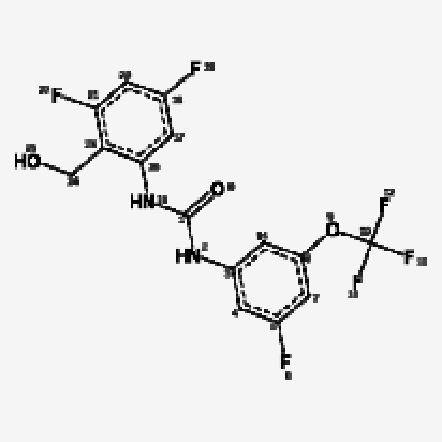 O=C(Nc1cc(F)cc(OC(F)(F)F)c1)Nc1cc(F)cc(F)c1CO